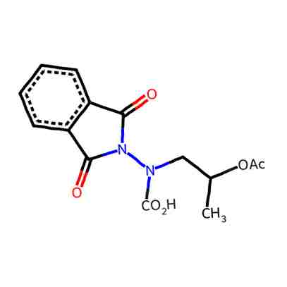 CC(=O)OC(C)CN(C(=O)O)N1C(=O)c2ccccc2C1=O